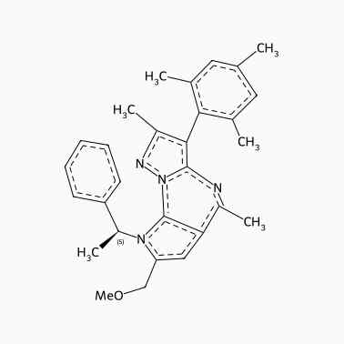 COCc1cc2c(C)nc3c(-c4c(C)cc(C)cc4C)c(C)nn3c2n1[C@@H](C)c1ccccc1